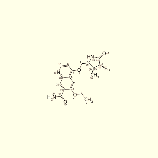 CCOc1cc2c(OC[C@H]3NC(=O)[C@@H](F)[C@H]3C)ccnc2cc1C(N)=O